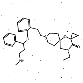 CCN1CC2(CCN(CCc3ccccc3OC(CCNC)c3ccccc3)CC2)OC2(CC2)C1=O